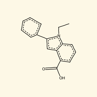 CCn1c(-c2ccccc2)cc2c(C(=O)O)cccc21